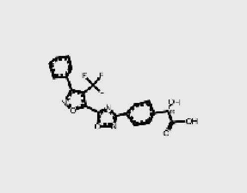 O=C(O)[C@@H](O)c1ccc(-c2noc(-c3onc(-c4ccccc4)c3C(F)(F)F)n2)cc1